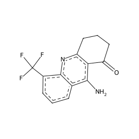 Nc1c2c(nc3c(C(F)(F)F)cccc13)CCCC2=O